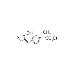 CCOC(=O)C(C)c1ccc(C=C2CSCC2O)cc1